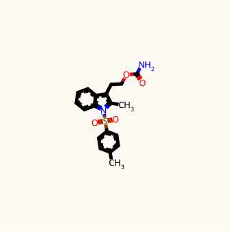 Cc1ccc(S(=O)(=O)n2c(C)c(CCOC(N)=O)c3ccccc32)cc1